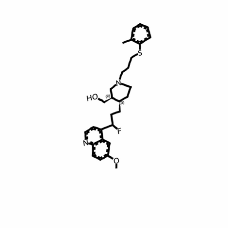 COc1ccc2nccc(C(F)CC[C@@H]3CCN(CCCSc4ccccc4C)C[C@@H]3CO)c2c1